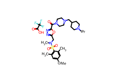 COc1cc(C)c(S(=O)(=O)N(C)Cc2nnc(C(=O)N3CCN(CC4CCN(C(C)C)CC4)CC3)o2)c(C)c1.O=C(O)C(F)(F)F